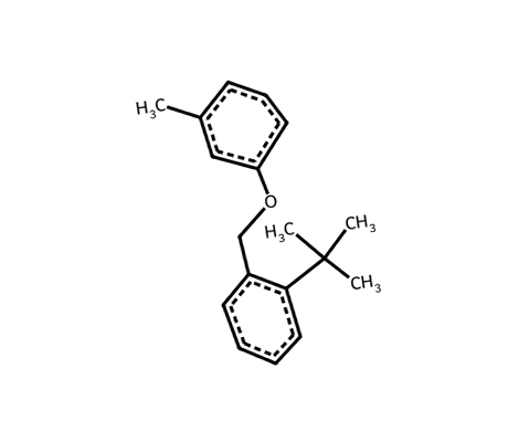 Cc1cccc(OCc2ccccc2C(C)(C)C)c1